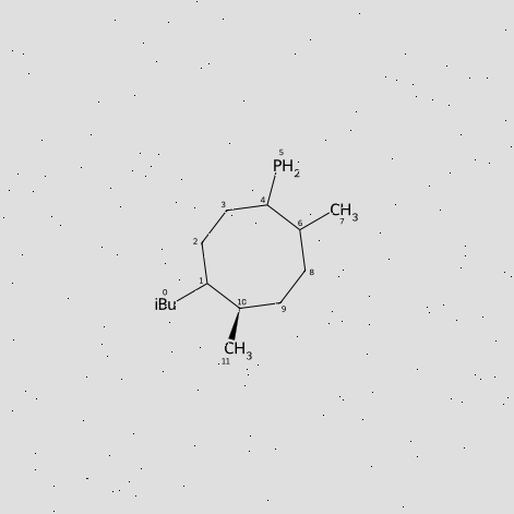 CCC(C)C1CCC(P)C(C)CC[C@H]1C